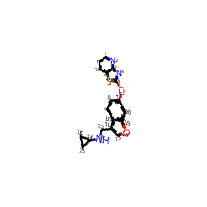 c1cnc2nc(Oc3ccc4c(CNC5CC5)coc4c3)sc2c1